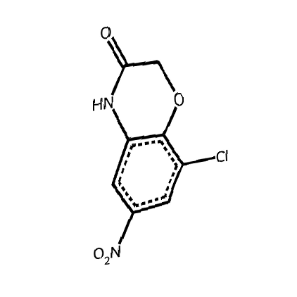 O=C1COc2c(Cl)cc([N+](=O)[O-])cc2N1